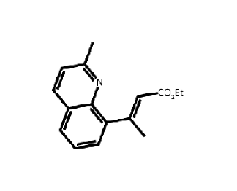 CCOC(=O)C=C(C)c1cccc2ccc(C)nc12